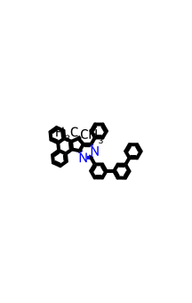 CC1(C)c2c(-c3ccccc3)nc(-c3cccc(-c4cccc(-c5ccccc5)c4)c3)nc2-c2c1c1ccccc1c1ccccc21